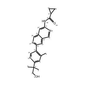 Cc1cc(C(C)(C)CO)ncc1-c1cc2cnc(NC(=O)C3CC3)cc2cn1